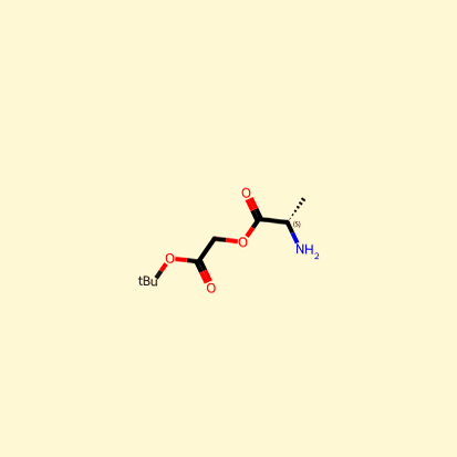 C[C@H](N)C(=O)OCC(=O)OC(C)(C)C